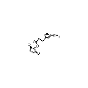 Cn1cnc(CCC(=O)ON2C(=O)CCC2=O)c1